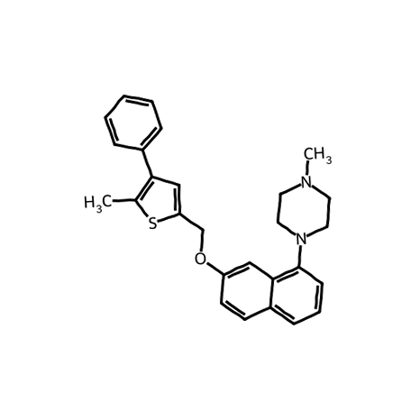 Cc1sc(COc2ccc3cccc(N4CCN(C)CC4)c3c2)cc1-c1ccccc1